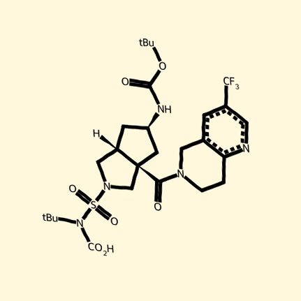 CC(C)(C)OC(=O)N[C@@H]1C[C@H]2CN(S(=O)(=O)N(C(=O)O)C(C)(C)C)C[C@@]2(C(=O)N2CCc3ncc(C(F)(F)F)cc3C2)C1